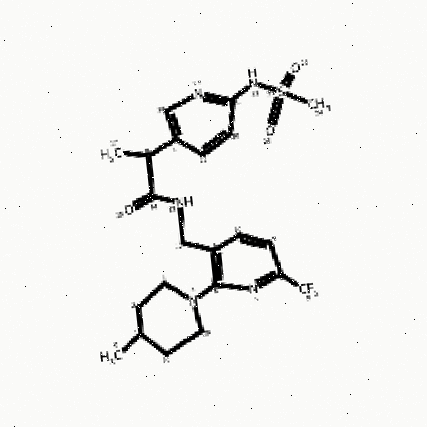 CC1CCN(c2nc(C(F)(F)F)ccc2CNC(=O)C(C)c2ccc(NS(C)(=O)=O)nc2)CC1